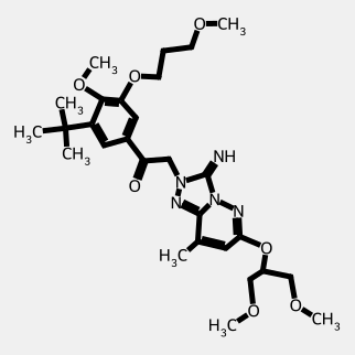 COCCCOc1cc(C(=O)Cn2nc3c(C)cc(OC(COC)COC)nn3c2=N)cc(C(C)(C)C)c1OC